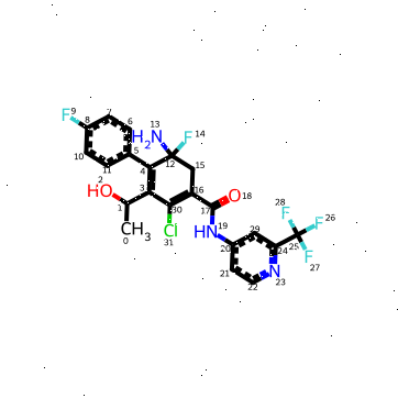 CC(O)C1=C(c2ccc(F)cc2)C(N)(F)CC(C(=O)Nc2ccnc(C(F)(F)F)c2)=C1Cl